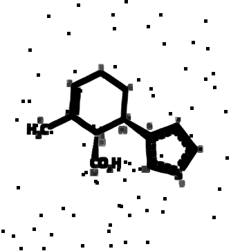 CC1=CCC[C@@H](c2ccsc2)[C@@H]1C(=O)O